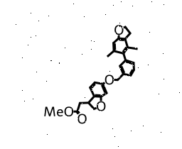 COC(=O)CC1COc2cc(OCc3cccc(-c4c(C)cc5c(c4C)CCO5)c3)ccc21